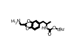 CC(Cc1ccc2c(c1)OC(CN)O2)NC(=O)OC(C)(C)C